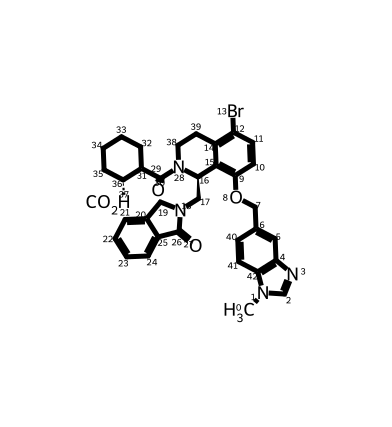 Cn1cnc2cc(COc3ccc(Br)c4c3[C@@H](CN3Cc5ccccc5C3=O)N(C(=O)C3CCCC[C@H]3C(=O)O)CC4)ccc21